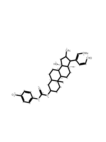 CO/C=C(\C=C/C=O)C1C(OC(C)=O)C[C@]2(O)C3CCC4CC(OC(=O)Oc5ccc([N+](=O)[O-])cc5)CCC4(C)C3CC[C@]12C